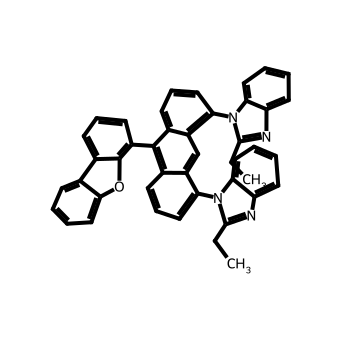 CCc1nc2ccccc2n1-c1cccc2c(-c3cccc4c3oc3ccccc34)c3cccc(-n4c(CC)nc5ccccc54)c3cc12